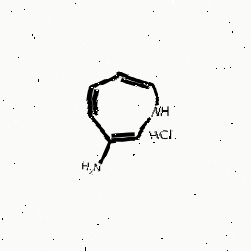 Cl.NC1=CNC=CC=C1